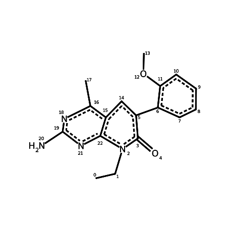 CCn1c(=O)c(-c2ccccc2OC)cc2c(C)nc(N)nc21